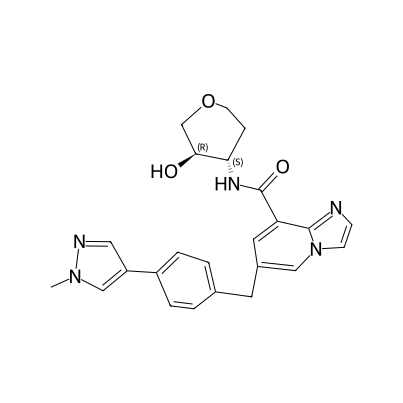 Cn1cc(-c2ccc(Cc3cc(C(=O)N[C@H]4CCOC[C@@H]4O)c4nccn4c3)cc2)cn1